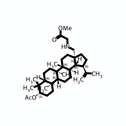 C=C(C)[C@@H]1CC[C@]2(CNCC(=O)OC)CC[C@]3(C)[C@H](CC[C@@H]4[C@@]5(C)CC[C@H](OC(C)=O)C(C)(C)[C@@H]5CC[C@]43C)[C@@H]12